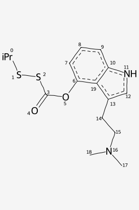 CC(C)SSC(=O)Oc1cccc2[nH]cc(CCN(C)C)c12